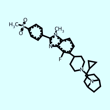 Cn1c(-c2ccc(S(C)(=O)=O)cc2)nc2c(F)c(C3CCN(C4CC5CCC(C4)N5CC4CC4)CC3)ccc21